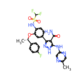 Cc1cnc(Nc2[nH]nc(-c3ccc(NS(=O)(=O)C(F)F)c(O[C@@H](C)c4ccc(F)cc4)c3)c2C(N)=O)cn1